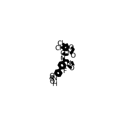 CN(C(=O)CN1C(=O)COc2cc(Cl)c(Cl)cc21)C(CN1CCOCC1)c1ccc(-c2ccc(NS(C)(=O)=O)cc2)c(F)c1